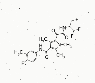 Cc1cc(NC(=O)c2c(C)c(C(=O)C(=O)NC(CF)C(F)F)n(C)c2C)ccc1F